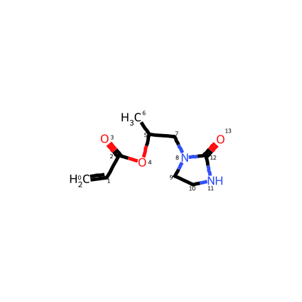 C=CC(=O)OC(C)CN1CCNC1=O